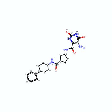 Nc1c(C(=O)N[C@@H]2CC[C@@H](C(=O)NC3CCC(c4ccccc4)CC3)C2)[nH]c(=O)[nH]c1=O